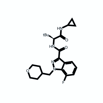 CC(C)(C)[C@H](NC(=O)c1nn(CC2CCOCC2)c2c(F)cccc12)C(=O)NC1CC1